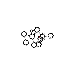 c1ccc(-c2nc(-c3ccccc3)nc(-c3cccc4oc5c(-c6ccccc6-c6ccccc6)cc(-c6ccccc6-c6ccccc6)cc5c34)n2)cc1